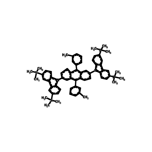 Cc1cccc(-c2c3ccc(-n4c5ccc([Si](C)(C)C)cc5c5cc([Si](C)(C)C)ccc54)cc3c(-c3cccc(C)c3)c3ccc(-n4c5ccc([Si](C)(C)C)cc5c5cc([Si](C)(C)C)ccc54)cc23)c1